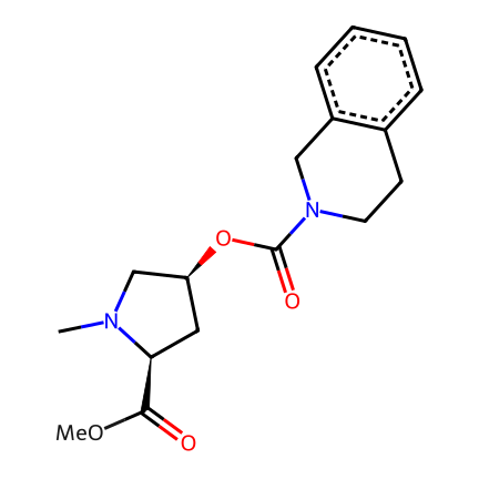 COC(=O)[C@@H]1C[C@H](OC(=O)N2CCc3ccccc3C2)CN1C